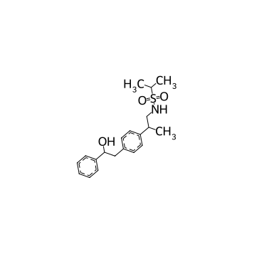 CC(CNS(=O)(=O)C(C)C)c1ccc(CC(O)c2ccccc2)cc1